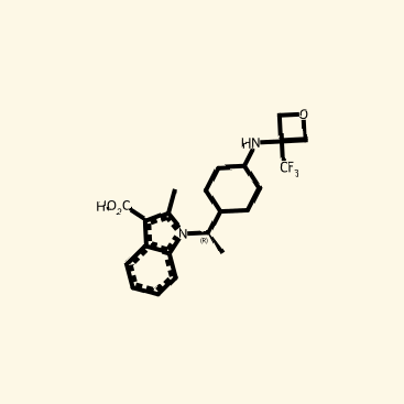 Cc1c(C(=O)O)c2ccccc2n1[C@H](C)C1CCC(NC2(C(F)(F)F)COC2)CC1